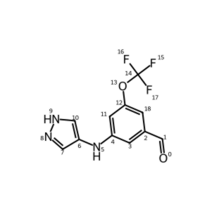 O=Cc1cc(Nc2cn[nH]c2)cc(OC(F)(F)F)c1